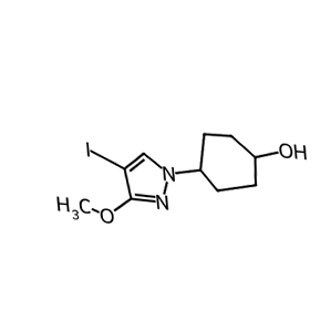 COc1nn(C2CCC(O)CC2)cc1I